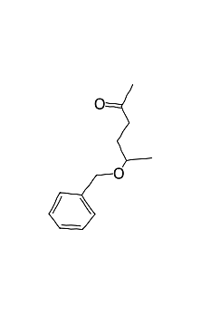 CC(=O)CCC(C)OCc1ccccc1